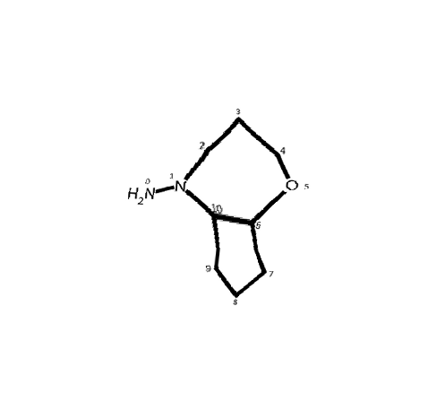 NN1CCCOC2CCCC21